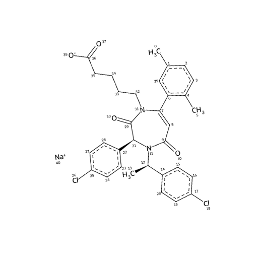 Cc1ccc(C)c(C2=CC(=O)N([C@H](C)c3ccc(Cl)cc3)[C@@H](c3ccc(Cl)cc3)C(=O)N2CCCCC(=O)[O-])c1.[Na+]